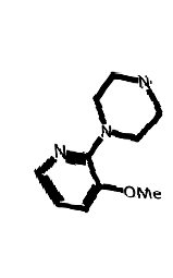 COc1cccnc1N1CC[N]CC1